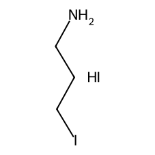 I.NCCCI